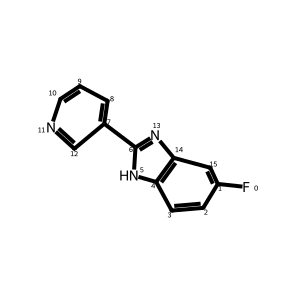 Fc1ccc2[nH]c(-c3cccnc3)nc2c1